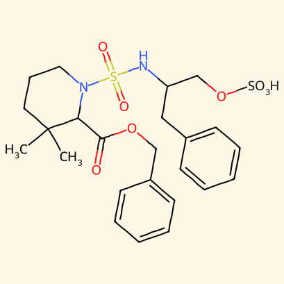 CC1(C)CCCN(S(=O)(=O)NC(COS(=O)(=O)O)Cc2ccccc2)C1C(=O)OCc1ccccc1